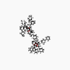 C1=CC2c3ccccc3N(c3nc(-c4ccc(-c5ccccc5)cc4)nc(-c4cccc5c4oc4ccc(-c6ccc(-c7cccc(-n8c9ccccc9c9ccc%10c%11ccccc%11n(-c%11nc(-c%12ccccc%12)nc(-c%12cccc%13c%12oc%12ccccc%12%13)n%11)c%10c98)c7)cc6)cc45)n3)C2C2C1c1ccccc1N2c1ccccc1